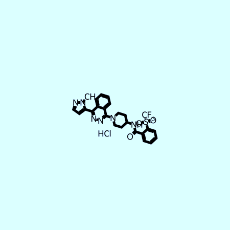 Cl.Cn1nccc1-c1nnc(N2CCC(NC(=O)c3ccccc3S(=O)(=O)C(F)(F)F)CC2)c2ccccc12